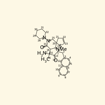 CN[C@H](Cc1ccc2ccccc2c1)C(=O)C(C)(N)[C@@H]1CC2(CC=CS2)CN(N2CCCCC2)C1=O